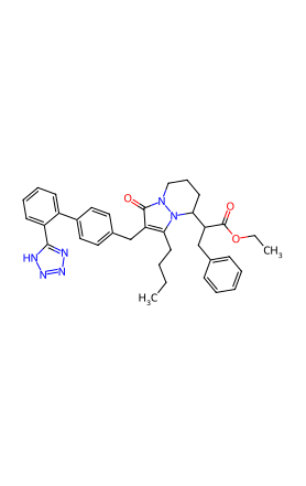 CCCCc1c(Cc2ccc(-c3ccccc3-c3nnn[nH]3)cc2)c(=O)n2n1C(C(Cc1ccccc1)C(=O)OCC)CCC2